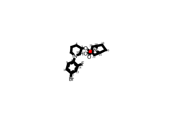 O=C(OC1CCCN(c2ccc(Br)cc2F)C1)N1C2CCC1CC(O)C2